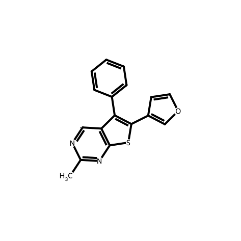 Cc1n[c]c2c(-c3ccccc3)c(-c3ccoc3)sc2n1